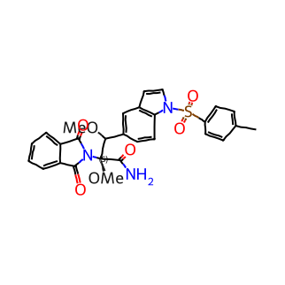 COC(c1ccc2c(ccn2S(=O)(=O)c2ccc(C)cc2)c1)[C@](OC)(C(N)=O)N1C(=O)c2ccccc2C1=O